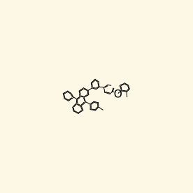 C=C(/C=C\C(=C/C)c1cccc(-c2ccc3c(-c4ccccc4)c4ccccc4c(-c4ccc(C)cc4)c3c2)c1)Oc1ccccc1C